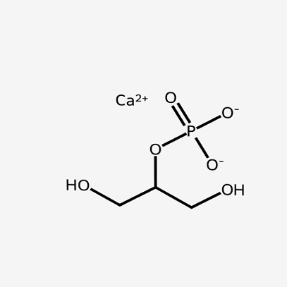 O=P([O-])([O-])OC(CO)CO.[Ca+2]